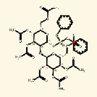 CC(=O)OC[C@@H]1O[C@H](OP(=O)(Oc2ccccc2)Oc2ccccc2)[C@@H](O[C@H]2O[C@H](COC(C)=O)[C@@H](OC(C)=O)[C@@H](OC(N)=O)[C@@H]2OC(C)=O)[C@@H](OC(C)=O)[C@@H]1OC(C)=O